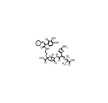 CC(C)(O/N=C(\C(=O)N[C@@H]1C(=O)N2CC(SCCNC(=O)/C(=N\N3CCOCC3)c3ccc(O)c(O)c3Cl)(C(=O)O)S[C@H]12)c1csc(N)n1)C(=O)O